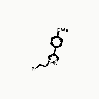 COc1ccc(-c2cnn(CCC(C)C)c2)cc1